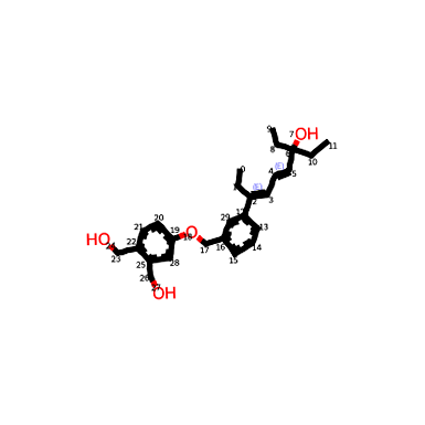 CC/C(=C\C=C\C(O)(CC)CC)c1cccc(COc2ccc(CO)c(CO)c2)c1